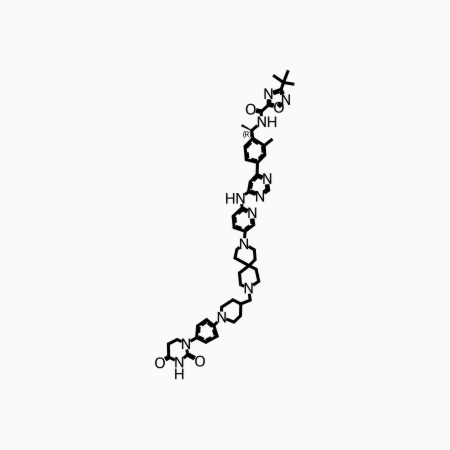 Cc1cc(-c2cc(Nc3ccc(N4CCC5(CCN(CC6CCN(c7ccc(N8CCC(=O)NC8=O)cc7)CC6)CC5)CC4)cn3)ncn2)ccc1[C@@H](C)NC(=O)c1nc(C(C)(C)C)no1